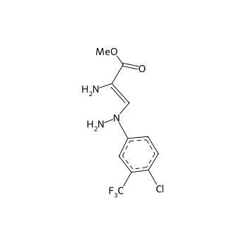 COC(=O)/C(N)=C/N(N)c1ccc(Cl)c(C(F)(F)F)c1